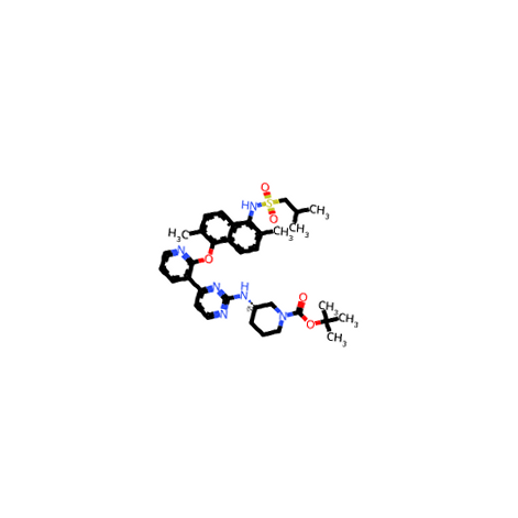 Cc1ccc2c(Oc3ncccc3-c3ccnc(N[C@H]4CCCN(C(=O)OC(C)(C)C)C4)n3)c(C)ccc2c1NS(=O)(=O)CC(C)C